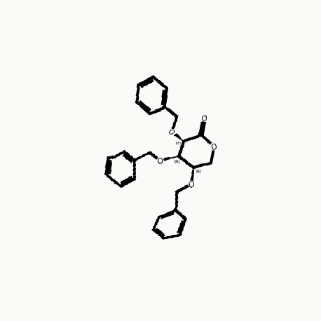 O=C1OC[C@@H](OCc2ccccc2)[C@@H](OCc2ccccc2)[C@H]1OCc1ccccc1